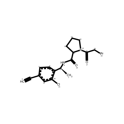 C#Cc1ccc([C@H](C)NC(=O)C2CCCN2C(=O)CC(C)C)c(Cl)c1